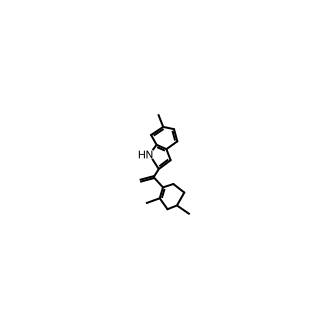 C=C(C1=C(C)CC(C)CC1)c1cc2ccc(C)cc2[nH]1